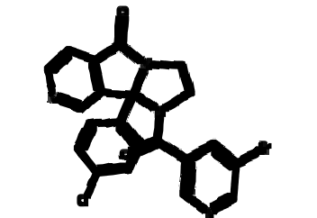 O=C(c1cncc(Br)c1)N1CCN2C(=O)c3ccncc3C12c1ccc(Cl)cc1